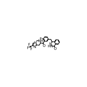 O=C(c1cc(Cc2n[nH]c(=O)c3ccccc23)ccc1F)C1Cc2nc(C(F)(F)F)cn2CN1